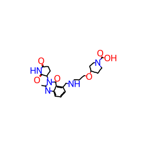 Cc1nc2cccc(CNCCCOC3CCN(C(=O)O)CC3)c2c(=O)n1C1CCC(=O)NC1=O